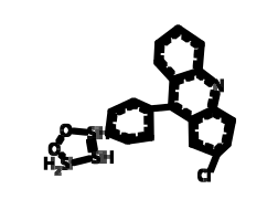 Clc1ccc2nc3ccccc3c(-c3ccccc3)c2c1.O1O[SiH2][SiH]=[SiH]1